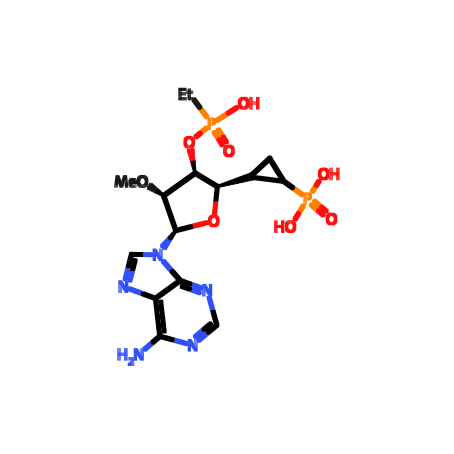 CCP(=O)(O)O[C@@H]1[C@H](OC)[C@H](n2cnc3c(N)ncnc32)O[C@@H]1C1CC1P(=O)(O)O